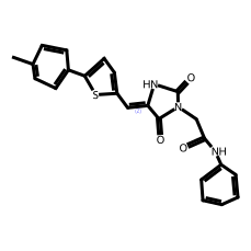 Cc1ccc(-c2ccc(/C=C3\NC(=O)N(CC(=O)Nc4ccccc4)C3=O)s2)cc1